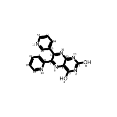 Oc1nc(O)c2nc(-c3ccccn3)c(-c3cccnc3)nc2n1